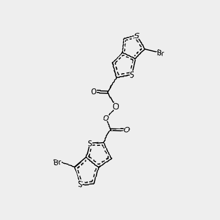 O=C(OOC(=O)c1cc2csc(Br)c2s1)c1cc2csc(Br)c2s1